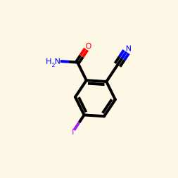 N#Cc1ccc(I)cc1C(N)=O